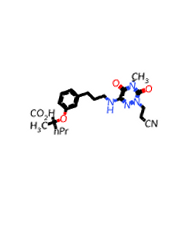 CCCC(C)(Oc1cccc(CCCNc2nn(CCC#N)c(=O)n(C)c2=O)c1)C(=O)O